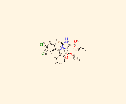 COC(=O)c1[nH]c(=S)n(C(c2ccc(Cl)c(Cl)c2)C2CCCCC2)c1C(=O)OC